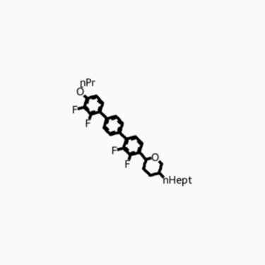 CCCCCCCC1CCC(c2ccc(-c3ccc(-c4ccc(OCCC)c(F)c4F)cc3)c(F)c2F)OC1